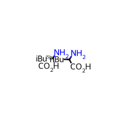 CCCCC(N)C(=O)O.CC[C@H](C)[C@H](N)C(=O)O